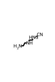 N#CSNCCNCCN